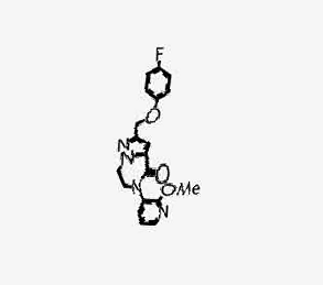 COc1ncccc1N1CCn2nc(COc3ccc(F)cc3)cc2C1=O